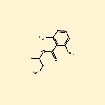 CSCC(C)NC(=O)c1c(C(=O)O)cccc1[N+](=O)[O-]